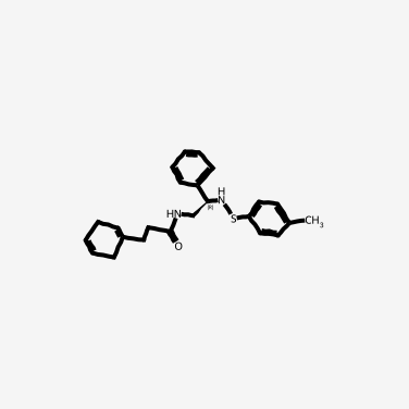 Cc1ccc(SN[C@@H](CNC(=O)CCC2=CCC=CC2)c2ccccc2)cc1